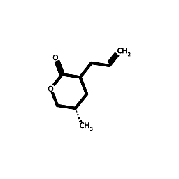 C=CCC1C[C@H](C)COC1=O